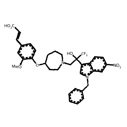 COc1cc(C=CC(=O)O)ccc1OC1CCCN(CC(O)(c2cn(Cc3ccccc3)c3cc([N+](=O)[O-])ccc23)C(F)(F)F)CC1